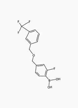 OB(O)c1ccc(COCc2cccc(C(F)(F)F)c2)cc1F